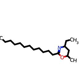 CCCCCCCCCCCCC1=NC(CC)CC(C)O1